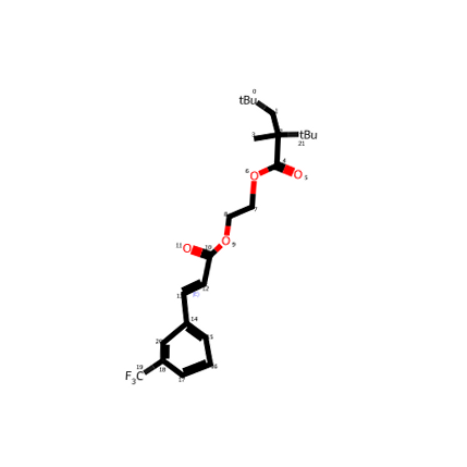 CC(C)(C)CC(C)(C(=O)OCCOC(=O)/C=C/c1cccc(C(F)(F)F)c1)C(C)(C)C